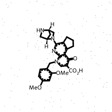 COc1ccc(Cn2cc(C(=O)O)c(=O)c3c4c(c(N5C[C@@H]6C[C@H]5CN6)nc32)CCC4)c(OC)c1